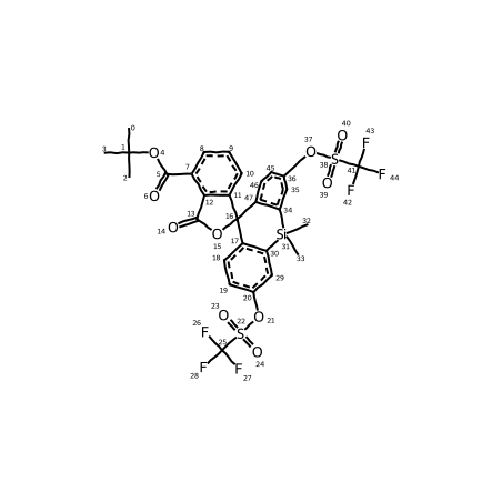 CC(C)(C)OC(=O)c1cccc2c1C(=O)OC21c2ccc(OS(=O)(=O)C(F)(F)F)cc2[Si](C)(C)c2cc(OS(=O)(=O)C(F)(F)F)ccc21